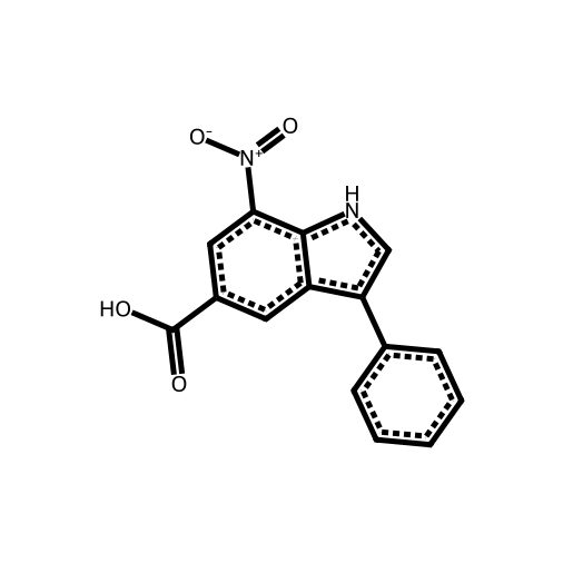 O=C(O)c1cc([N+](=O)[O-])c2[nH]cc(-c3ccccc3)c2c1